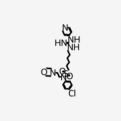 N=C(NCCCCCCS(=O)(=O)N(CCN1CCOCC1)c1ccc(Cl)cc1)Nc1ccncc1